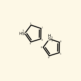 C1=CC[SiH]=C1.C1=C[SiH2]C=C1